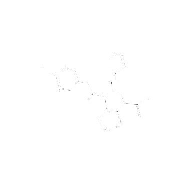 COc1ccc(CC(=O)N2c3ccccc3C(C(=O)O)C[C@@H]2C)cc1.c1ccoc1